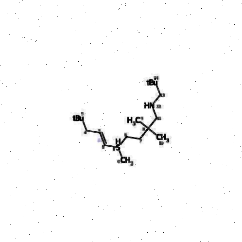 C[SH](/C=C/CC(C)(C)C)CCC(C)(C)CNCC(C)(C)C